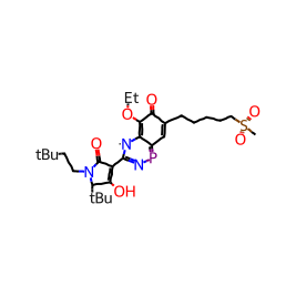 CCOC1=C2[N]C(C3=C(O)C(C(C)(C)C)N(CCC(C)(C)C)C3=O)=NP=C2C=C(CCCCCS(C)(=O)=O)C1=O